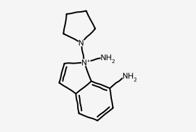 Nc1cccc2c1[N+](N)(N1CCCC1)C=C2